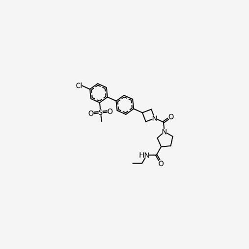 CCNC(=O)C1CCN(C(=O)N2CC(c3ccc(-c4ccc(Cl)cc4S(C)(=O)=O)cc3)C2)C1